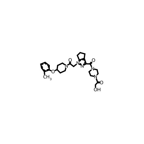 Cc1ccccc1OC1CCN(C(=O)Cn2nc(C(=O)N3CCN(C(=O)CO)CC3)c3c2CCC3)CC1